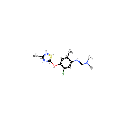 CCN(C)C=Nc1cc(Cl)c(Oc2nc(C(C)(C)C)ns2)cc1C